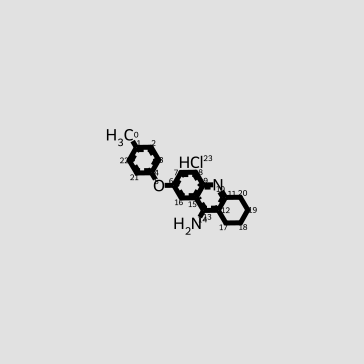 Cc1ccc(Oc2ccc3nc4c(c(N)c3c2)CCCC4)cc1.Cl